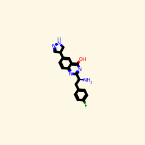 N[C@@H](Cc1ccc(F)cc1)c1nc(O)c2cc(C3C=NNC3)ccc2n1